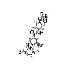 C[C@@H]1CCC(Br)c2nc3cc(C(=O)Nc4ccc(OC(F)(F)Cl)cc4)cc(Br)c3n21